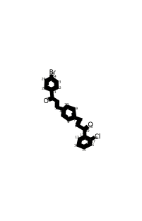 O=C(/C=C/c1ccc(/C=C/C(=O)c2ccccc2Cl)cc1)c1ccc(Br)cc1